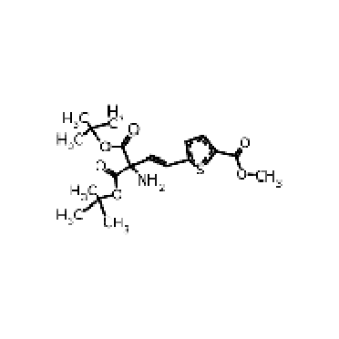 COC(=O)c1ccc(C=CC(N)(C(=O)OC(C)(C)C)C(=O)OC(C)(C)C)s1